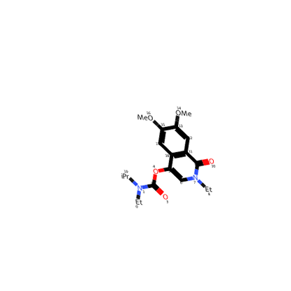 CCN(C(=O)Oc1cn(CC)c(=O)c2cc(OC)c(OC)cc12)C(C)C